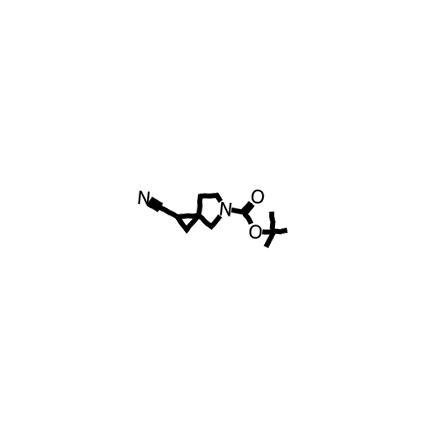 CC(C)(C)OC(=O)N1CCC2(CC2C#N)C1